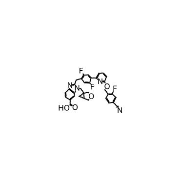 N#Cc1ccc(COc2cccc(-c3cc(F)c(Cc4nc5ccc(C(=O)O)cc5n4CC45COCC4C5)cc3F)n2)c(F)c1